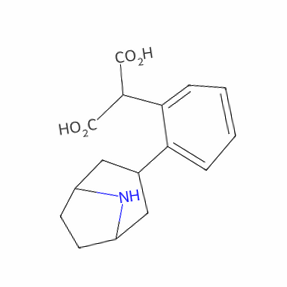 O=C(O)C(C(=O)O)c1ccccc1C1CC2CCC(C1)N2